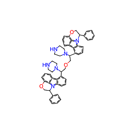 c1ccc(C2COc3cccc4c5c(C(COCC(c6cccc7c6c6cccc8c6n7C(c6ccccc6)CO8)N6CCNCC6)N6CCNCC6)cccc5n2c34)cc1